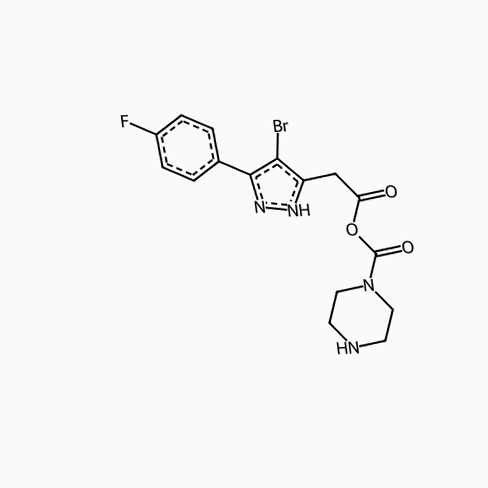 O=C(Cc1[nH]nc(-c2ccc(F)cc2)c1Br)OC(=O)N1CCNCC1